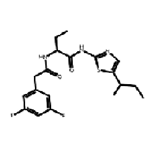 CCC(NC(=O)Cc1cc(F)cc(F)c1)C(=O)Nc1ncc(C(C)CC)s1